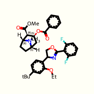 CCOc1cc(C(C)(C)C)ccc1C1COC(c2c(F)cccc2F)=N1.COC(=O)[C@H]1[C@@H](OC(=O)c2ccccc2)C[C@@H]2CC[C@H]1N2C